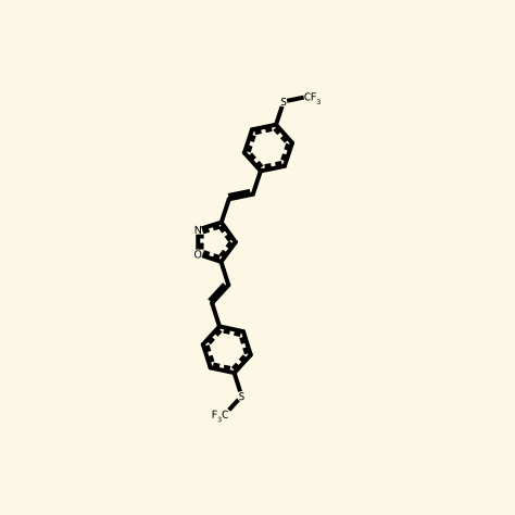 FC(F)(F)Sc1ccc(C=Cc2cc(C=Cc3ccc(SC(F)(F)F)cc3)on2)cc1